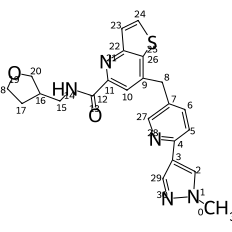 Cn1cc(-c2ccc(Cc3cc(C(=O)NCC4CCOC4)nc4ccsc34)cn2)cn1